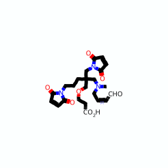 CN(C/C=C\C=O)CC(CCCN1C(=O)C=CC1=O)(COCCC(=O)O)CN1C(=O)C=CC1=O